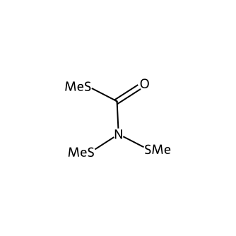 [CH2]SC(=O)N(SC)SC